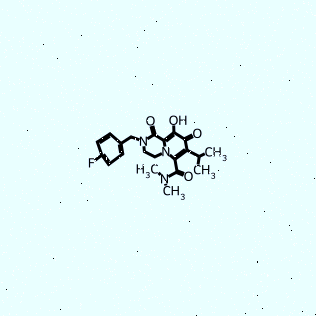 CC(C)c1c(C(=O)N(C)C)n2c(c(O)c1=O)C(=O)N(Cc1ccc(F)cc1)CC2